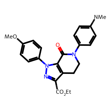 CCOC(=O)c1nn(-c2ccc(OC)cc2)c2c1CCN(c1ccc(NC)cc1)C2=O